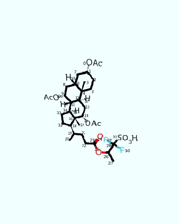 CC(=O)O[C@@H]1CC[C@@]2(C)[C@@H](C1)C[C@@H](OC(C)=O)[C@@H]1[C@@H]2C[C@H](OC(C)=O)[C@]2(C)[C@@H](C(C)CCC(=O)OC(C)C(F)(F)S(=O)(=O)O)CC[C@@H]12